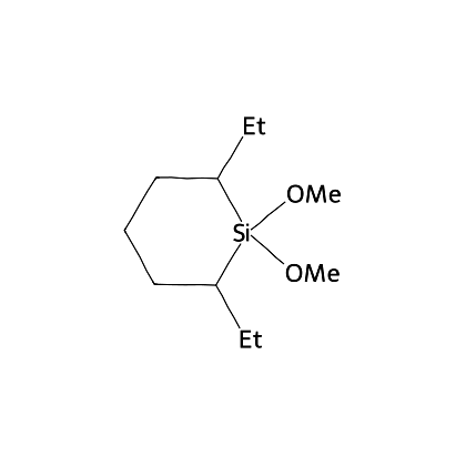 CCC1CCCC(CC)[Si]1(OC)OC